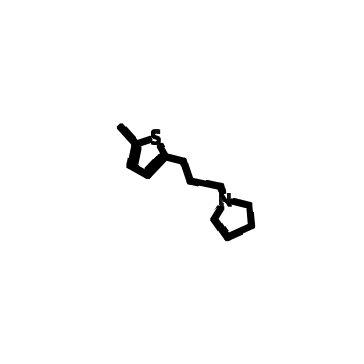 Cc1ccc(CCCN2CCCC2)s1